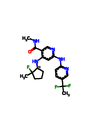 CNC(=O)c1cnc(Nc2ccc(C(C)(F)F)cn2)cc1N[C@H]1CCCC1(C)F